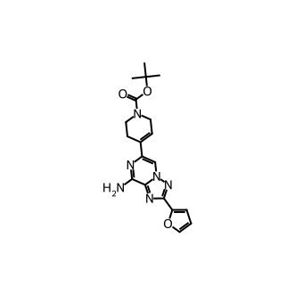 CC(C)(C)OC(=O)N1CC=C(c2cn3nc(-c4ccco4)nc3c(N)n2)CC1